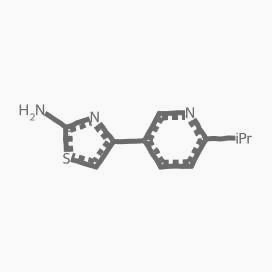 CC(C)c1ccc(-c2csc(N)n2)cn1